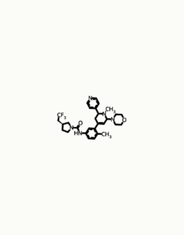 Cc1ccc(NC(=O)N2CC[C@@H](CC(F)(F)F)C2)cc1C1=CC(N2CCOCC2)N(C)C(c2ccncc2)C1